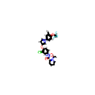 CC(=O)N1CCCC[C@@H]1C(=O)Nc1ccc(O[C@H]2CCN(c3ccc(OC(F)(F)F)c(C)c3)C2)c(Cl)c1